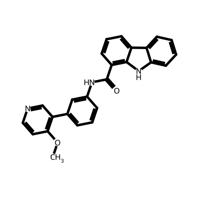 COc1ccncc1-c1cccc(NC(=O)c2cccc3c2[nH]c2ccccc23)c1